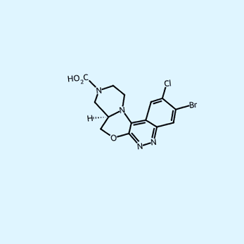 O=C(O)N1CCN2c3c(nnc4cc(Br)c(Cl)cc34)OC[C@H]2C1